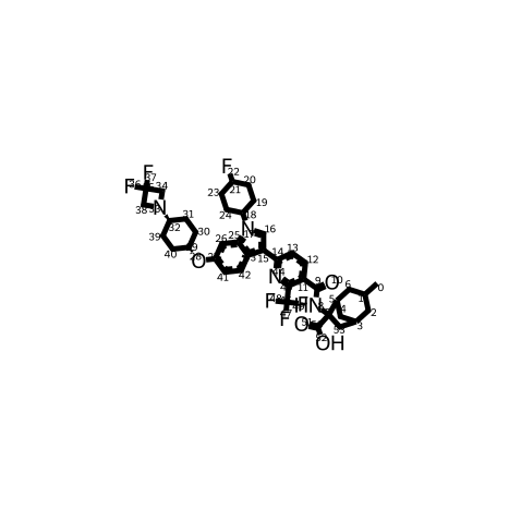 CC1CC2CC(C1)C(NC(=O)c1ccc(-c3cn(C4CCC(F)CC4)c4cc(O[C@H]5CC[C@H](N6CC(F)(F)C6)CC5)ccc34)nc1C(F)(F)F)(C(=O)O)C2